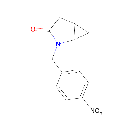 O=C1CC2CC2N1Cc1ccc([N+](=O)[O-])cc1